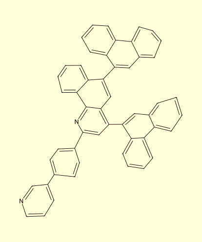 c1cncc(-c2ccc(-c3cc(-c4cc5ccccc5c5ccccc45)c4cc(-c5cc6ccccc6c6ccccc56)c5ccccc5c4n3)cc2)c1